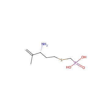 C=C(C)[C@H](N)CCSCP(=O)(O)O